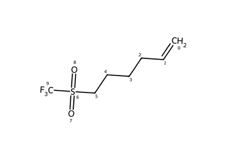 C=CCCCCS(=O)(=O)C(F)(F)F